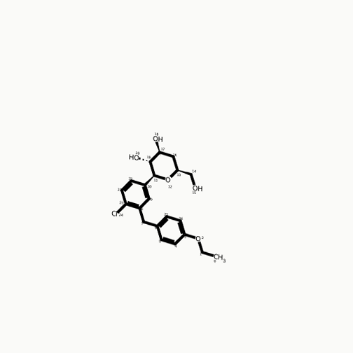 CCOc1ccc(Cc2cc([C@@H]3O[C@H](CO)C[C@H](O)[C@H]3O)ccc2Cl)cc1